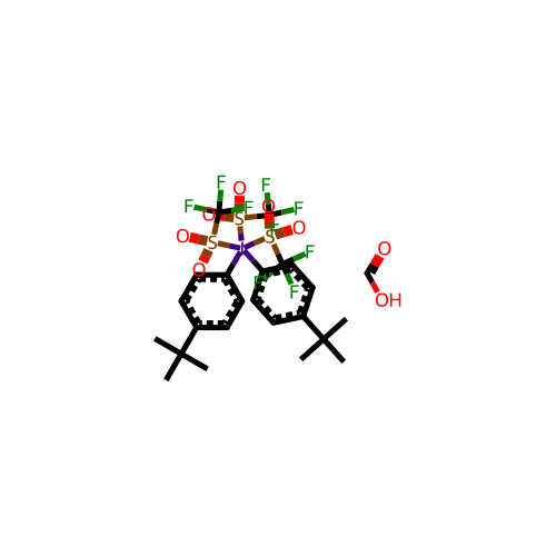 CC(C)(C)c1ccc(I(c2ccc(C(C)(C)C)cc2)(S(=O)(=O)C(F)(F)F)(S(=O)(=O)C(F)(F)F)S(=O)(=O)C(F)(F)F)cc1.O=CO